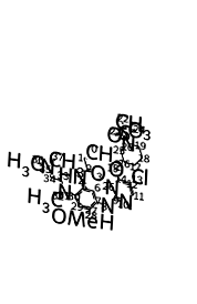 C=CC(=O)Nc1cc(Nc2ncc(Cl)c(O[C@@H]3CCCN(S(C)(=O)=O)C3)n2)c(OC)cc1N(C)CCN(C)C